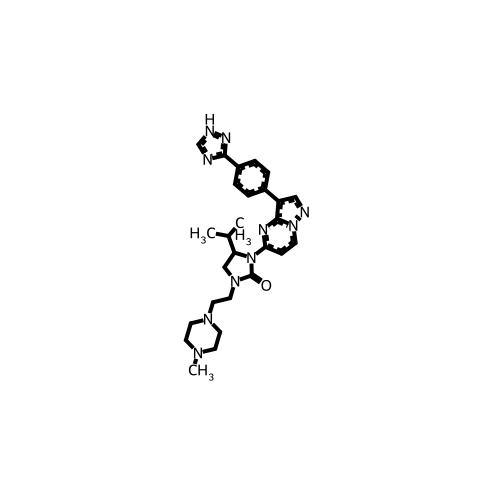 CC(C)C1CN(CCN2CCN(C)CC2)C(=O)N1c1ccn2ncc(-c3ccc(-c4nc[nH]n4)cc3)c2n1